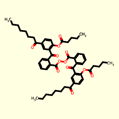 CCCCCCCC(=O)c1ccc(OC(=O)CCCC)c(C(=O)c2ccccc2C(=O)OOC(=O)c2ccccc2C(=O)c2cc(C(=O)CCCCCCC)ccc2OC(=O)CCCC)c1